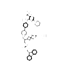 CC(C)(C)C1N(C(=O)O)CC12CC(C(CNC(=O)OCC1c3ccccc3-c3ccccc31)CN1CCC(c3ccc(Nc4nc(N5CCCCC5)cnc4C(N)=O)cc3)CC1)C2